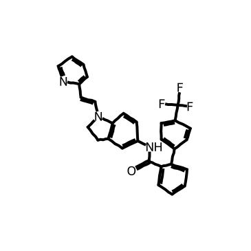 O=C(Nc1ccc2c(c1)CCN2C=Cc1ccccn1)c1ccccc1-c1ccc(C(F)(F)F)cc1